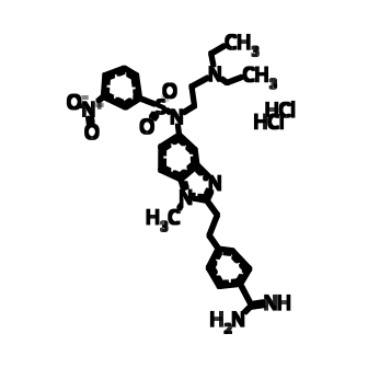 CCN(CC)CCN(c1ccc2c(c1)nc(CCc1ccc(C(=N)N)cc1)n2C)S(=O)(=O)c1cccc([N+](=O)[O-])c1.Cl.Cl